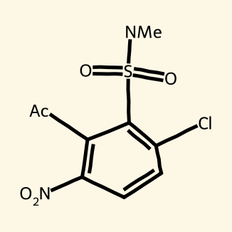 CNS(=O)(=O)c1c(Cl)ccc([N+](=O)[O-])c1C(C)=O